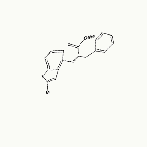 CCc1cc2c(/C=C(/Cc3ccccc3)C(=O)OC)cccc2s1